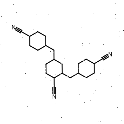 N#CC1CCC(CC2CCC(C#N)C(CC3CCC(C#N)CC3)C2)CC1